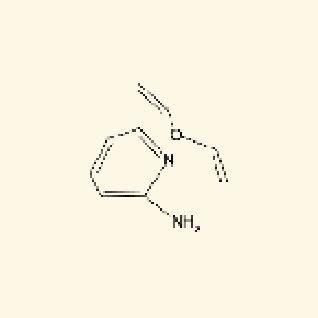 C=COC=C.Nc1ccccn1